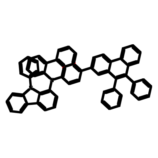 c1ccc(-c2ccccc2N(c2ccc(-c3ccc4c(c3)c(-c3ccccc3)c(-c3ccccc3)c3ccccc34)cc2)c2cccc3c4ccccc4n(-c4ccccc4)c23)cc1